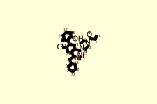 C=CC(=O)N1CCN(C(=N)c2cc(-c3c(O)cccc3F)c(Cl)cc2C(=N)Cc2ccccc2)CC1